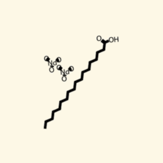 CCCCCCCCCCCCCCCCCC(=O)O.[O]=[Nd](=[O])=[O].[O]=[Nd](=[O])=[O]